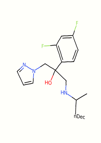 CCCCCCCCCCC(C)NCC(O)(Cn1cccn1)c1ccc(F)cc1F